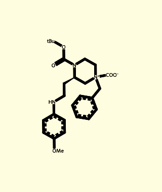 COc1ccc(NCC[C@@H]2C[N+](Cc3ccccc3)(C(=O)[O-])CCN2C(=O)OC(C)(C)C)cc1